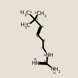 CC(C)(C)/C=C/CCNC(=N)N